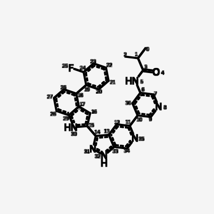 CC(C)C(=O)Nc1cncc(-c2cc3c(-c4cc5c(-c6ccccc6F)cccc5[nH]4)n[nH]c3cn2)c1